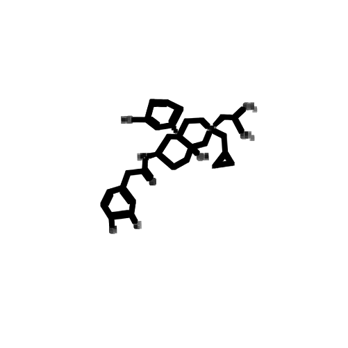 CC(C)C[N@+]1(CC2CC2)CC[C@]2(c3cccc(O)c3)C[C@H](NC(=O)Cc3ccc(Cl)c(Cl)c3)CCC2(O)C1